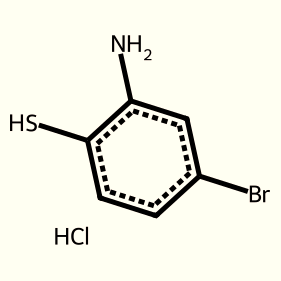 Cl.Nc1cc(Br)ccc1S